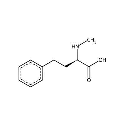 CN[C@H](CCc1ccccc1)C(=O)O